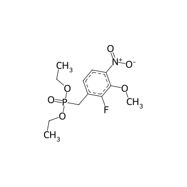 CCOP(=O)(Cc1ccc([N+](=O)[O-])c(OC)c1F)OCC